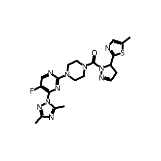 Cc1nc(C)n(-c2nc(N3CCN(C(=O)N4N=CCC4c4ncc(C)s4)CC3)ncc2F)n1